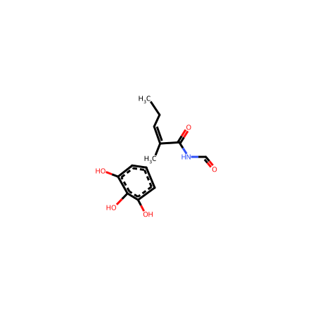 CCC=C(C)C(=O)NC=O.Oc1cccc(O)c1O